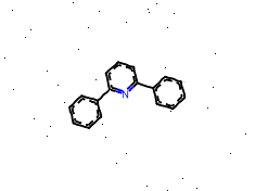 [c]1cccc(-c2cccc(-c3ccccc3)n2)c1